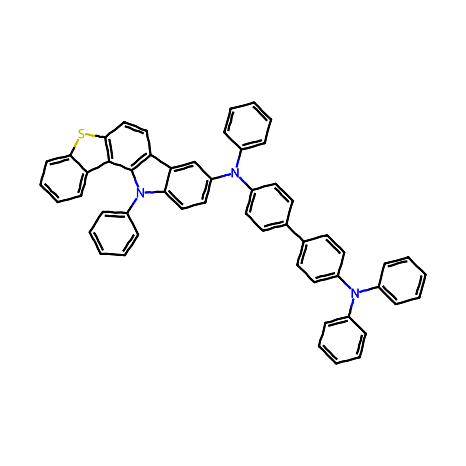 c1ccc(N(c2ccccc2)c2ccc(-c3ccc(N(c4ccccc4)c4ccc5c(c4)c4ccc6sc7ccccc7c6c4n5-c4ccccc4)cc3)cc2)cc1